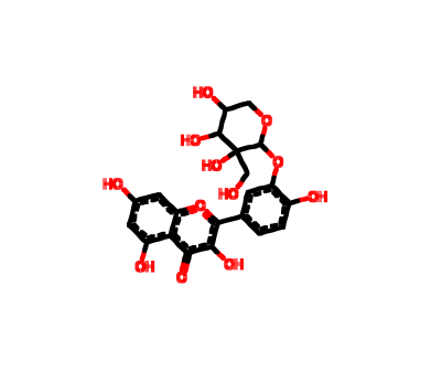 O=c1c(O)c(-c2ccc(O)c(OC3OCC(O)C(O)C3(O)CO)c2)oc2cc(O)cc(O)c12